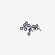 CC1(C)c2ccccc2-c2ccc(N(c3ccc(-c4ccccc4)cc3)c3ccc4c(c3)Oc3c(N(c5ccccc5)c5ccccc5)ccc5cccc-4c35)cc21